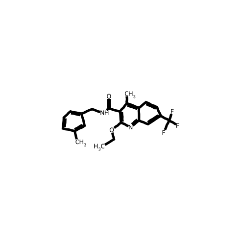 CCOc1nc2cc(C(F)(F)F)ccc2c(C)c1C(=O)NCc1cccc(C)c1